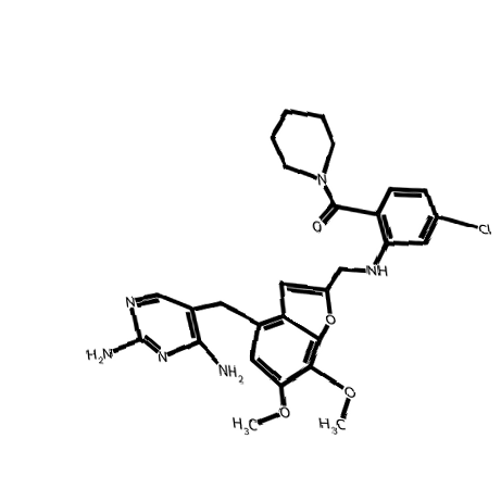 COc1cc(Cc2cnc(N)nc2N)c2cc(CNc3cc(Cl)ccc3C(=O)N3CCCCC3)oc2c1OC